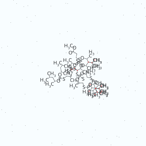 COC(=O)CCSP(OC(C)CSP(=S)(CC(C)CSP(OC(C)CC(C)C)OC(C)CC(C)C)OC(C)CSP(OC(C)CC(C)C)OC(C)CC(C)C)OC(C)CSP(=S)(OC(C)CSP(OC(C)CC(C)C)OC(C)CC(C)C)OC(C)CSP(OC(C)CC(C)C)OC(C)CC(C)C